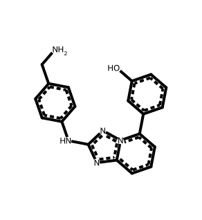 NCc1ccc(Nc2nc3cccc(-c4cccc(O)c4)n3n2)cc1